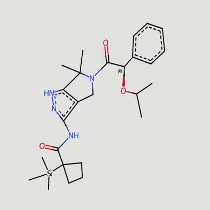 CC(C)O[C@@H](C(=O)N1Cc2c(NC(=O)C3([Si](C)(C)C)CCC3)n[nH]c2C1(C)C)c1ccccc1